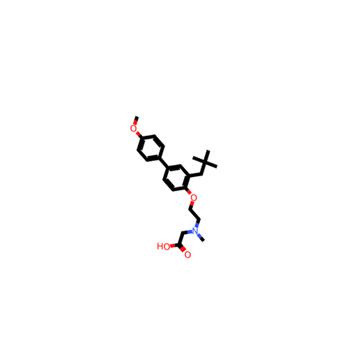 COc1ccc(-c2ccc(OCCN(C)CC(=O)O)c(CC(C)(C)C)c2)cc1